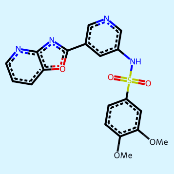 COc1ccc(S(=O)(=O)Nc2cncc(-c3nc4ncccc4o3)c2)cc1OC